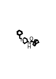 O=C(NC1CCN(Cc2ccccc2)CC1)C12CC3CC(C1)C2C3